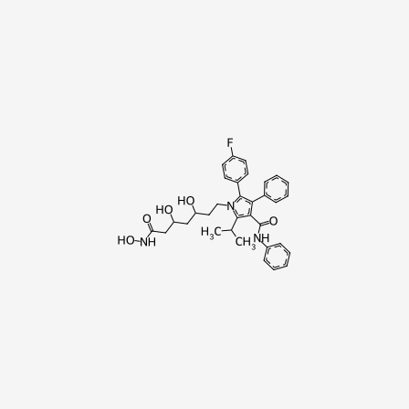 CC(C)c1c(C(=O)Nc2ccccc2)c(-c2ccccc2)c(-c2ccc(F)cc2)n1CCC(O)CC(O)CC(=O)NO